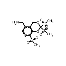 CS(=O)(=O)c1ncc(CN)c2c1OC(S(C)(=O)=O)(S(C)(=O)=O)OC2